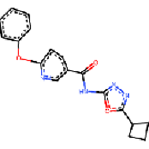 O=C(Nc1nnc(C2CCC2)o1)c1ccc(Oc2ccccc2)nc1